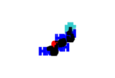 O=C(Nc1ccc(Nc2cccc3nc(C(F)(F)F)cn23)cc1)c1cccc2[nH]ccc12